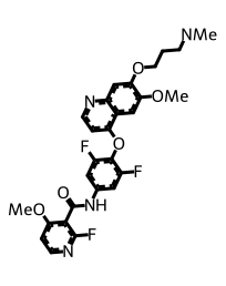 CNCCCOc1cc2nccc(Oc3c(F)cc(NC(=O)c4c(OC)ccnc4F)cc3F)c2cc1OC